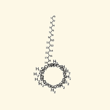 CCCCCCCCCCCCCCCCCCCC[SiH]1O[SiH2]O[SiH2]O[SiH2]O[SiH2]O[SiH2]O[SiH2]O[SiH2]O[SiH2]O[SiH2]O[SiH2]O[SiH2]O1